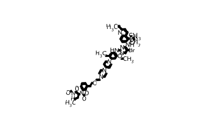 CCCC(C(=O)NC=O)n1c(=O)oc2c(CCOCCN3CCN(C4CCN(c5cc(OCC)c(Nc6ncc(Br)c(Nc7ccc8nc(CC)ccc8c7P(C)(C)=O)n6)cc5CC)CC4)CC3)cccc21